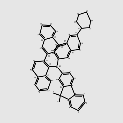 CC1(C)c2ccccc2-c2ccc(N(c3ccc4cc(C5CCCCC5)ccc4c3)c3c(-c4ccc5ccccc5c4)ccc4ccccc34)cc21